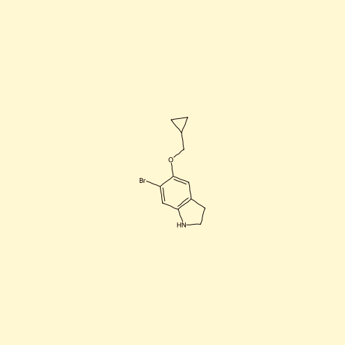 Brc1cc2c(cc1OCC1CC1)CCN2